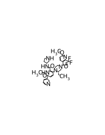 CCOC1(c2cccnc2)C=CC(N2CCN(C(=O)c3ccc(OC)nc3C(F)(F)F)C[C@H]2CC)=C(C(=O)N[C@@H]2CCNC2)N1